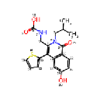 CC(C)Cn1c(CNC(=O)O)c(-c2cccs2)c2cc(O)ccc2c1=O